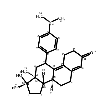 CCC[C@]1(O)CC[C@H]2[C@@H]3CCC4=CC(=O)CCC4=C3C(c3ccc(N(C)C)cc3)C[C@@]21C